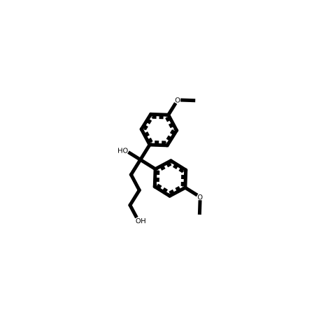 COc1ccc(C(O)(CCCO)c2ccc(OC)cc2)cc1